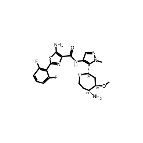 CO[C@@H]1C[C@@H](c2c(NC(=O)c3nc(-c4c(F)cccc4F)sc3N)cnn2C)OCC[C@H]1N